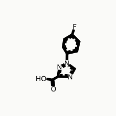 O=C(O)c1ncn(-c2ccc(F)cc2)n1